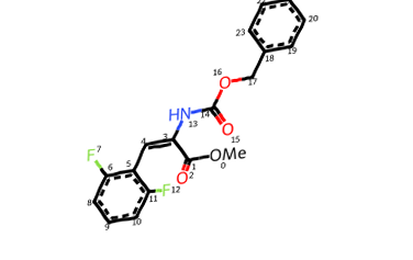 COC(=O)/C(=C\c1c(F)cccc1F)NC(=O)OCc1ccccc1